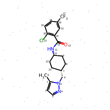 Cc1ccnn1C[C@H]1CC[C@H](NC(=O)c2cc(C(F)(F)F)ccc2Cl)CC1